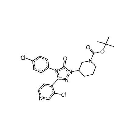 CC(C)(C)OC(=O)N1CCCC(n2nc(-c3ccncc3Cl)n(-c3ccc(Cl)cc3)c2=O)C1